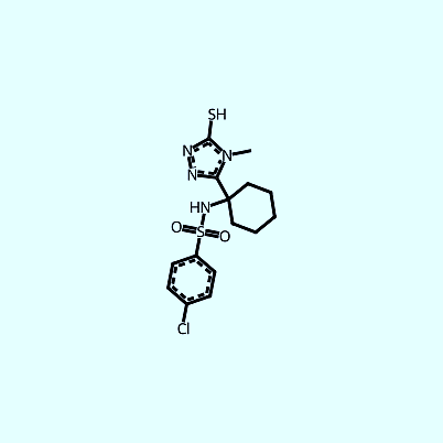 Cn1c(S)nnc1C1(NS(=O)(=O)c2ccc(Cl)cc2)CCCCC1